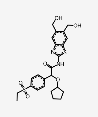 CCS(=O)(=O)c1ccc(C(OC2CCCC2)C(=O)Nc2nc3cc(CO)c(CO)cc3s2)cc1